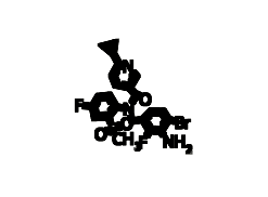 CS(=O)(=O)c1cc(F)ccc1N(Cc1ccc(Br)c(N)c1F)C(=O)c1ccc(C2CC2)nc1